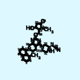 Cc1cccc2cccc(N3CCc4c(nc(OCC5[C@H](O)CC(=O)N5C)nc4N4CCN[C@@H](CC#N)C4)C3)c12